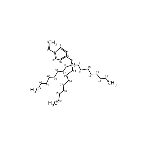 C=Cc1ccc(C[P+](CCCCCCCC)(CCCCCCCC)CCCCCCCC)cc1